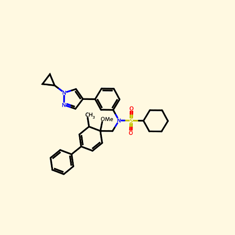 COC1(CN(c2cccc(-c3cnn(C4CC4)c3)c2)S(=O)(=O)C2CCCCC2)C=CC(c2ccccc2)=CC1C